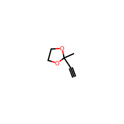 C#CC1(C)OCCO1